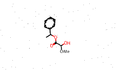 COC(O)C(=O)OC(C)c1ccccc1